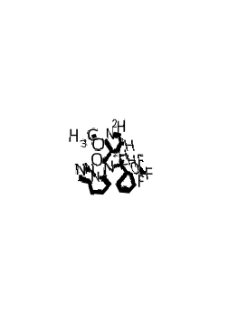 [2H]c1nc(OC)c(C(=O)N(c2cccc3cnnn23)C(C)c2ccccc2OC(F)(F)F)c([2H])c1[2H]